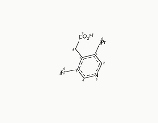 CC(C)c1cncc(C(C)C)c1CC(=O)O